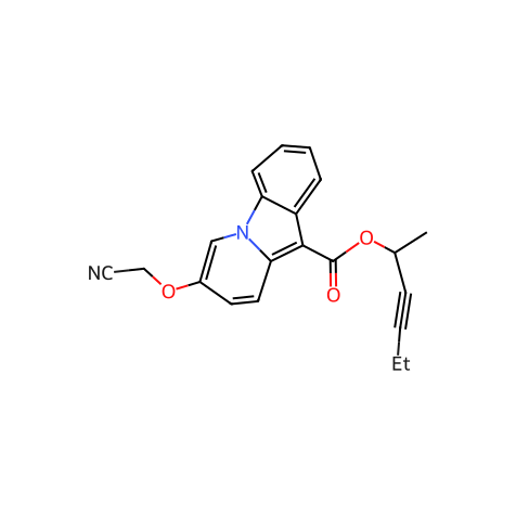 CCC#CC(C)OC(=O)c1c2ccccc2n2cc(OCC#N)ccc12